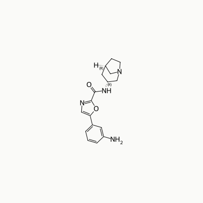 Nc1cccc(-c2cnc(C(=O)N[C@@H]3C[C@H]4CCN(C4)C3)o2)c1